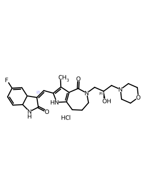 Cc1c(/C=C2\C(=O)NC3C=CC(F)=CC23)[nH]c2c1C(=O)N(C[C@H](O)CN1CCOCC1)CCC2.Cl